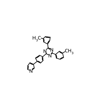 Cc1cccc(-c2nc(-c3ccc(-c4cccnc4)cc3)nc(-c3cccc(C)c3)n2)c1